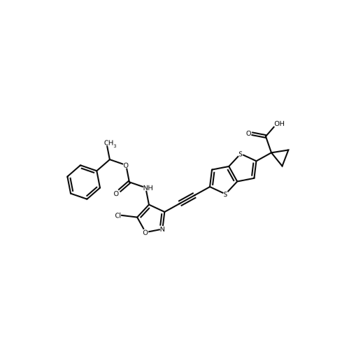 CC(OC(=O)Nc1c(C#Cc2cc3sc(C4(C(=O)O)CC4)cc3s2)noc1Cl)c1ccccc1